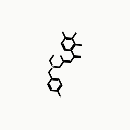 C=C(/C=C(\C)CN(CC)Cc1ccc(F)cc1)c1ccc(C)c(C)c1C